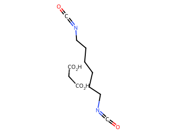 O=C(O)CC(=O)O.O=C=NCCCCCCN=C=O